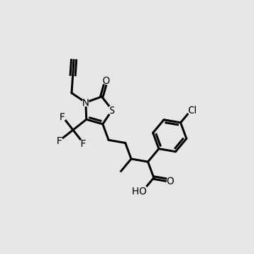 C#CCn1c(C(F)(F)F)c(CCC(C)C(C(=O)O)c2ccc(Cl)cc2)sc1=O